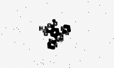 COC(=O)c1cc(Nc2ncccn2)c(Nc2ncccn2)cc1C(N)=O